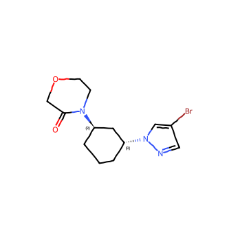 O=C1COCCN1[C@@H]1CCC[C@@H](n2cc(Br)cn2)C1